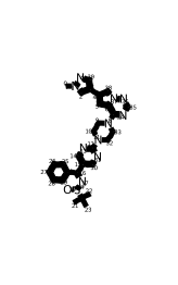 Cn1cc(-c2cc3c(N4CCN(c5ncc(C(=N[S+]([O-])C(C)(C)C)c6ccccc6)cn5)CC4)ncnn3c2)cn1